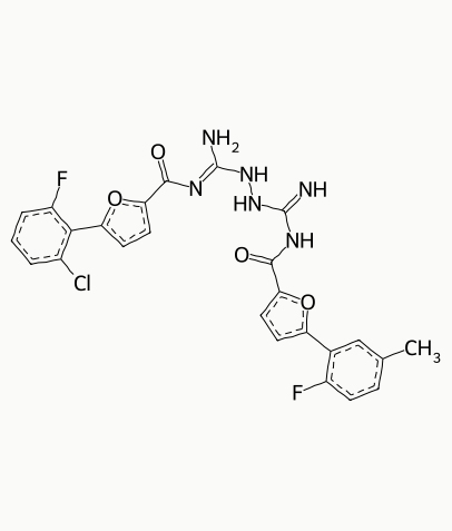 Cc1ccc(F)c(-c2ccc(C(=O)NC(=N)NNC(N)=NC(=O)c3ccc(-c4c(F)cccc4Cl)o3)o2)c1